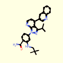 CC(C)c1nn(-c2ccc(C(N)=O)c(NCC(C)(C)C)c2)c2nccc(-c3cnc4ccccc4c3)c12